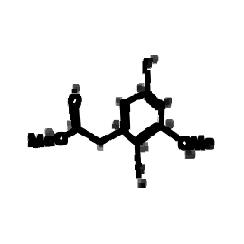 COC(=O)Cc1cc(F)cc(OC)c1F